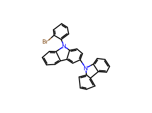 Brc1ccccc1-n1c2ccccc2c2cc(-n3c4ccccc4c4ccccc43)ccc21